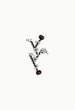 CCCCCCC(CCCC(=O)OCCC12CC3CC(CC(C3)C1)C2)OC(=O)OCCN(CCOC(=O)OC(CCCCCC)CCCC(=O)OCCC12CC3CC(CC(C3)C1)C2)CCN(CC)CC